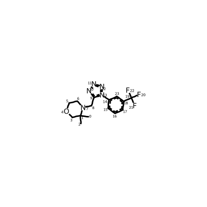 CC1(C)COCCN1Cc1nnnn1-c1cccc(C(F)(F)F)c1